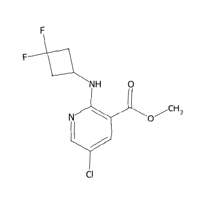 COC(=O)c1cc(Cl)cnc1NC1CC(F)(F)C1